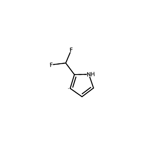 FC(F)c1[c]cc[nH]1